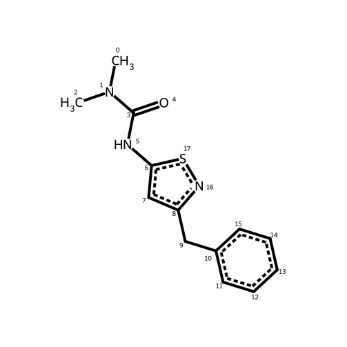 CN(C)C(=O)Nc1cc(Cc2ccccc2)ns1